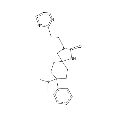 CN(C)C1(c2ccccc2)CCC2(CC1)CN(CCc1ncccn1)C(=O)N2